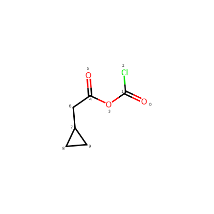 O=C(Cl)OC(=O)CC1CC1